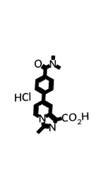 Cc1nc(C(=O)O)c2cc(-c3ccc(C(=O)N(C)C)cc3)ccn12.Cl